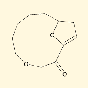 O=C1COCCCCCC2CC=C1O2